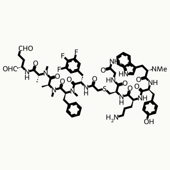 CN[C@@H](Cc1c[nH]c2ccccc12)C(=O)N[C@@H](Cc1ccc(O)cc1)C(=O)N[C@@H](CCCN)C(=O)N[C@@H](CSCC(=O)N[C@@H](Cc1cc(F)c(F)c(F)c1)C(=O)N(C)[C@@H](Cc1ccccc1)C(=O)N(C)[C@@H](C)C(=O)N(C)[C@H](C)C(=O)N[C@H](C=O)CCC=O)C(=O)NCC(N)=O